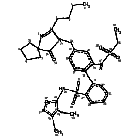 CCCCC1=NC2(CCCC2)C(=O)N1Cc1ccc(-c2ccccc2S(=O)(=O)Nc2onc(C)c2C)c(NS(=O)(=O)CC)c1